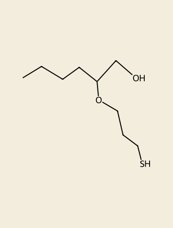 CCCCC(CO)OCCCS